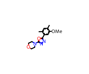 COc1cc(-c2nnc(N3CCOCC3)o2)c(C)cc1C